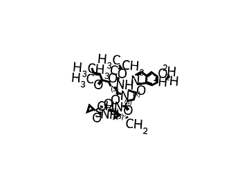 [2H]C([2H])([2H])Oc1ccc2c(O[C@@H]3C[C@@H](C(=O)N[C@]4(C(=O)NS(=O)(=O)C5CC5)C[C@H]4C=C)N(C(=O)[C@H](CCC(=O)C=C(C)C)NC(=O)OC(C)(C)C)C3)nccc2c1